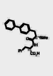 CN[C@@H](Cc1ccc(-c2ccccc2)cc1)C(=O)N[C@@H](CC(C)C)C(=O)O